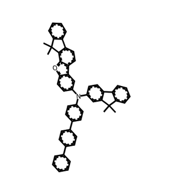 CC1(C)c2ccccc2-c2ccc(N(c3ccc(-c4ccc(-c5ccccc5)cc4)cc3)c3ccc4oc5c6c(ccc5c4c3)-c3ccccc3C6(C)C)cc21